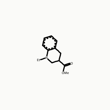 CCN1CC(C(=O)OC)Cc2ccccc21